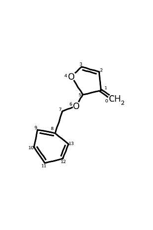 C=C1C=COC1OCc1ccccc1